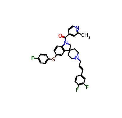 Cc1cc(C(=O)N2CC3(CCN(CC=Cc4ccc(F)c(F)c4)CC3)c3cc(Sc4ccc(F)cc4)ccc32)ccn1